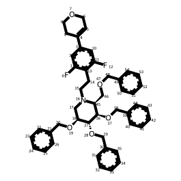 Fc1cc(C2=CCOCC2)cc(F)c1CCN1C[C@H](OCc2ccccc2)[C@@H](OCc2ccccc2)[C@H](OCc2ccccc2)[C@@H]1COCc1ccccc1